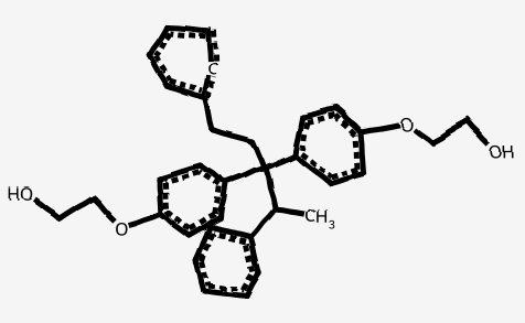 CC(c1ccccc1)C(CCc1ccccc1)(c1ccc(OCCO)cc1)c1ccc(OCCO)cc1